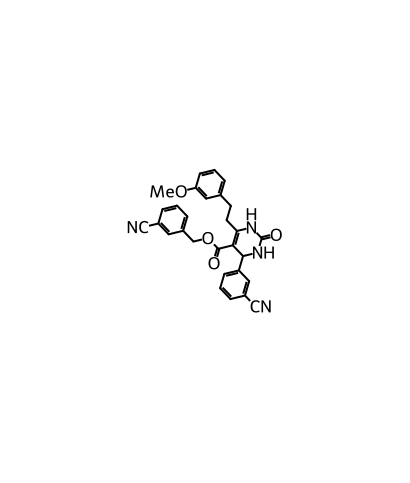 COc1cccc(CCC2=C(C(=O)OCc3cccc(C#N)c3)C(c3cccc(C#N)c3)NC(=O)N2)c1